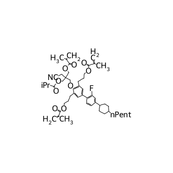 C=C(C)C(=O)OCCCc1cc(-c2ccc(C3CCC(CCCCC)CC3)cc2F)cc(CCCOC(=O)C(=C)C)c1OCC(CC#N)(COC(=O)C(=C)C)COC(=O)C(C)C